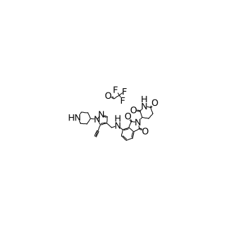 C#Cc1c(CNc2cccc3c2C(=O)N(C2CCC(=O)NC2=O)C3=O)cnn1C1CCNCC1.O=CC(F)(F)F